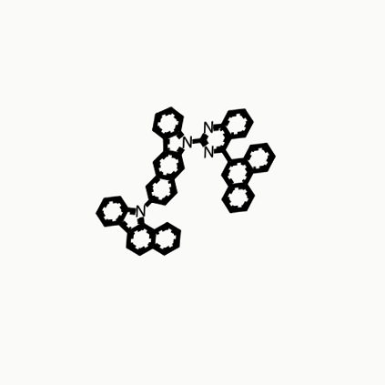 c1ccc2c(c1)cc(-c1nc(-n3c4ccccc4c4cc5cc(-n6c7ccccc7c7ccc8ccccc8c76)ccc5cc43)nc3ccccc13)c1ccccc12